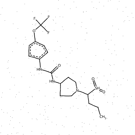 CCCC(N1CCC(NC(=O)Nc2ccc(OC(F)(F)F)cc2)CC1)[SH](=O)=O